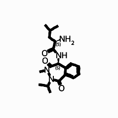 CC(C)C[C@H](N)C(=O)N[C@@H]1C(=O)N(C)N(C(C)C)C(=O)c2ccccc21